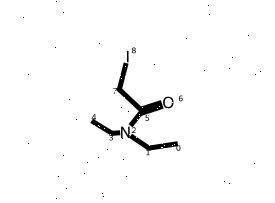 CCN(CC)C(=O)CI